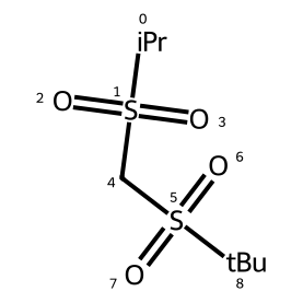 CC(C)S(=O)(=O)CS(=O)(=O)C(C)(C)C